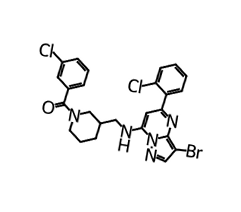 O=C(c1cccc(Cl)c1)N1CCCC(CNc2cc(-c3ccccc3Cl)nc3c(Br)cnn23)C1